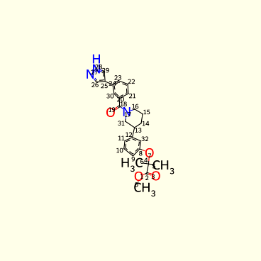 COC(=O)C(C)(C)Oc1cccc(C2CCCN(C(=O)c3cccc(-c4cn[nH]c4)c3)C2)c1